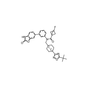 CC(C)(C)c1nc(C23CCC(CN(C(=O)C45CC(F)(C4)C5)c4cccc(-c5ccc6[nH]c(=O)oc6c5)c4)(CC2)CC3)no1